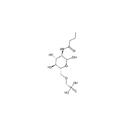 CCCC(=O)N[C@H]1C(O)O[C@H](COCP(=O)(O)O)[C@@H](O)[C@@H]1O